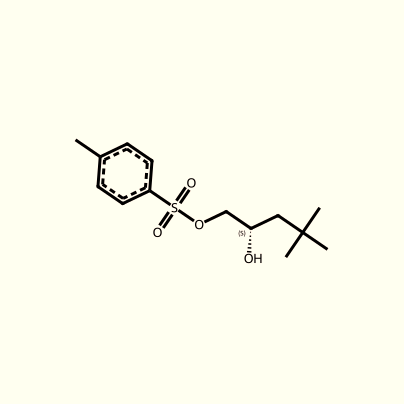 Cc1ccc(S(=O)(=O)OC[C@@H](O)CC(C)(C)C)cc1